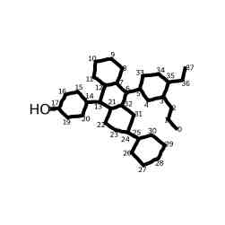 CCCC1CC(C2C3CCCCC3C(C3CCC(O)CC3)C3CCC(C4CCCCC4)CC32)CCC1CC